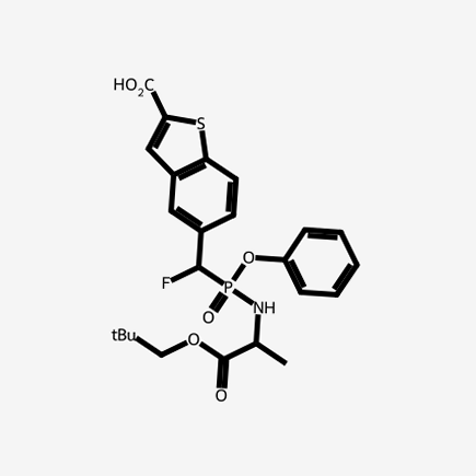 CC(NP(=O)(Oc1ccccc1)C(F)c1ccc2sc(C(=O)O)cc2c1)C(=O)OCC(C)(C)C